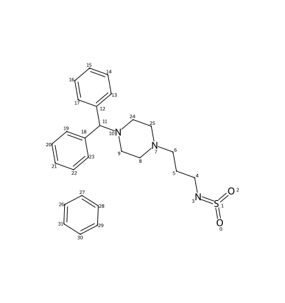 O=S(=O)=NCCCN1CCN(C(c2ccccc2)c2ccccc2)CC1.c1ccccc1